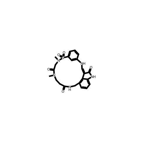 CN1CCC(=O)NCc2cccc3c2/C(=C/Nc2cccc(c2)S(=O)(=O)N(C)CC1=O)C(=O)N3